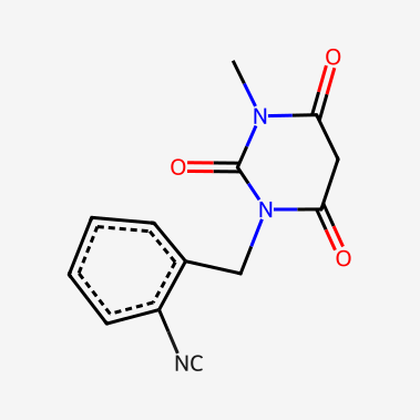 [C-]#[N+]c1ccccc1CN1C(=O)CC(=O)N(C)C1=O